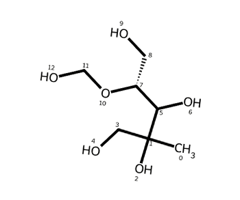 CC(O)(CO)C(O)[C@@H](CO)OCO